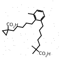 Cc1cccc(CCCCCC(C)(C)C(=O)O)c1CCCCCC1(C(=O)O)CC1